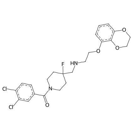 O=C(c1ccc(Cl)c(Cl)c1)N1CCC(F)(CNCCOc2cccc3c2OCCO3)CC1